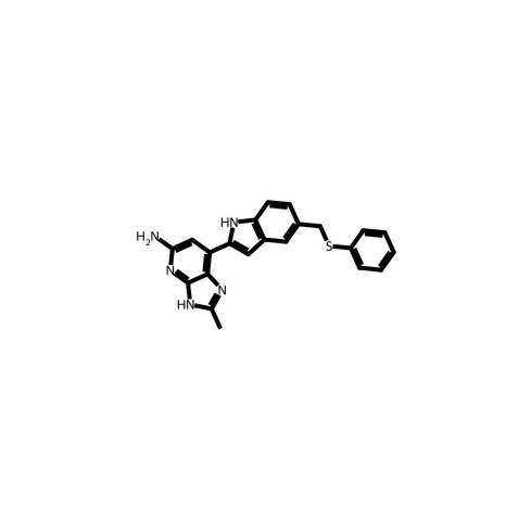 Cc1nc2c(-c3cc4cc(CSc5ccccc5)ccc4[nH]3)cc(N)nc2[nH]1